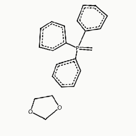 C1COCO1.C=P(c1ccccc1)(c1ccccc1)c1ccccc1